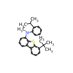 CC(C)c1ccccc1N(C)c1cccc2c1sc1c(C(C)(C)C)cccc12